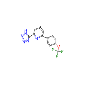 FC(F)(F)Oc1ccc(-c2c[c]cc(-c3nnn[nH]3)n2)cc1